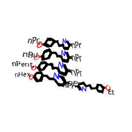 CCCCCCOc1ccc(CCc2ccc(CCC)cn2)cc1.CCCCCOc1ccc(CCc2ccc(CCC)cn2)cc1.CCCCOc1ccc(CCc2ccc(CCC)cn2)cc1.CCCOc1ccc(CCc2ccc(CCC)cn2)cc1.CCCc1ccc(CCc2ccc(OCC)cc2)nc1